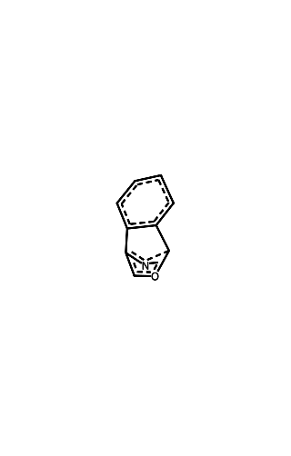 c1ccc2c(c1)-c1coc-2n1